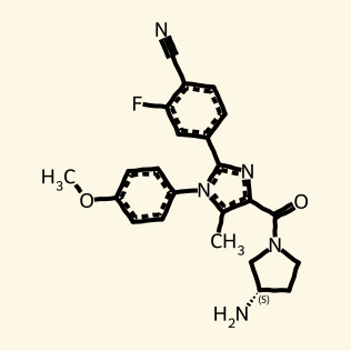 COc1ccc(-n2c(-c3ccc(C#N)c(F)c3)nc(C(=O)N3CC[C@H](N)C3)c2C)cc1